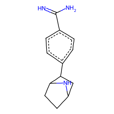 N=C(N)c1ccc(C2CC3CCC2N3)cc1